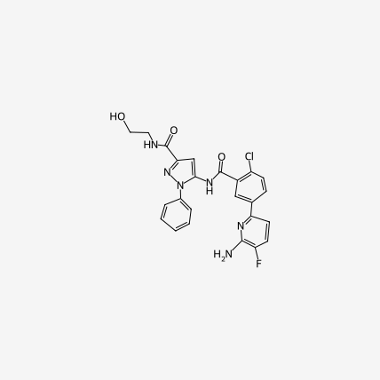 Nc1nc(-c2ccc(Cl)c(C(=O)Nc3cc(C(=O)NCCO)nn3-c3ccccc3)c2)ccc1F